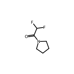 O=C([C](F)F)N1CCCC1